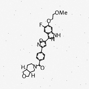 COCCOc1cc2[nH]nc(-c3cc(-c4ccc(C(=O)N5CC[C@@H]6COC[C@@H]6C5)cc4)no3)c2cc1F